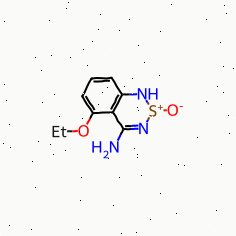 CCOc1cccc2c1C(N)=N[S+]([O-])N2